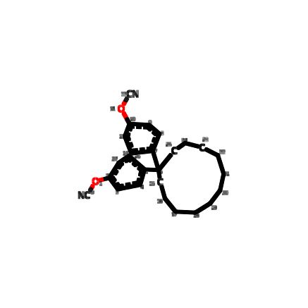 N#COc1ccc(C2(c3ccc(OC#N)cc3)CCCCCCCCCCC2)cc1